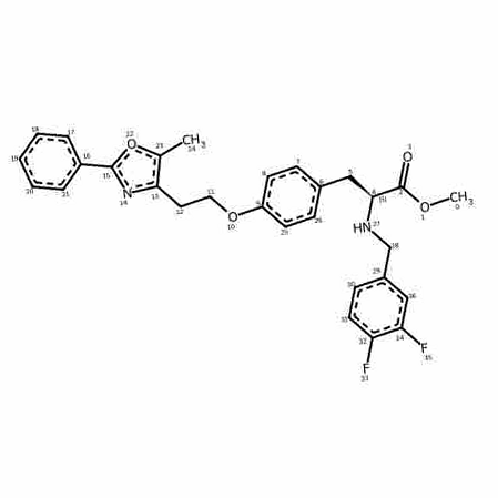 COC(=O)[C@H](Cc1ccc(OCCc2nc(-c3ccccc3)oc2C)cc1)NCc1ccc(F)c(F)c1